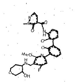 COc1nc(-c2cccc(-c3cccc(NC(=O)c4ccnn(C)c4=O)c3Cl)c2Cl)cc(F)c1CNC1CCOCC1O